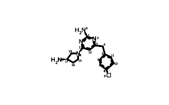 Nc1nc(Cc2ccc(Cl)cc2)cc(N2CC[C@@H](N)C2)n1